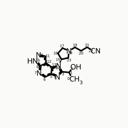 CC(O)c1nc2cnc3[nH]ncc3c2n1[C@H]1CCN(CCCC#N)C1